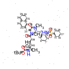 CN(CCc1ccccc1NS(=O)(=O)c1ccccc1)C(=O)[C@@H](Cc1ccc2ccccc2c1)N(C)C(=O)C=CCC(C)(C)NC(=O)OC(C)(C)C